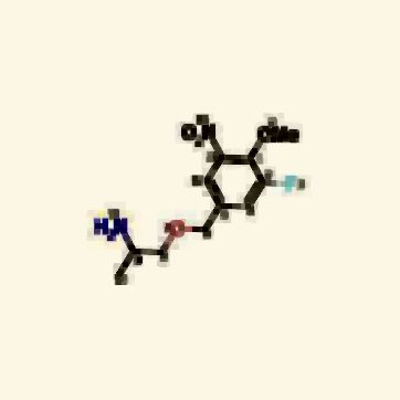 COc1c(F)cc(COCC(C)N)cc1[N+](=O)[O-]